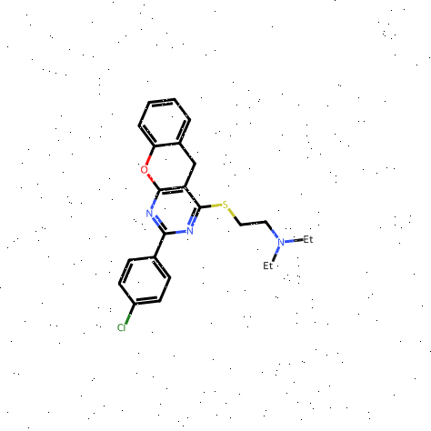 CCN(CC)CCSc1nc(-c2ccc(Cl)cc2)nc2c1Cc1ccccc1O2